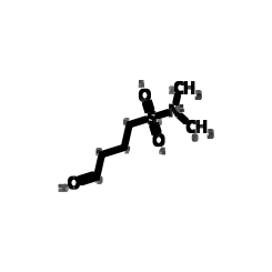 CN(C)S(=O)(=O)CCC[C]=O